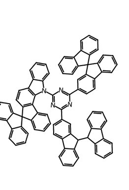 c1ccc2c(c1)-c1ccccc1C2C1c2ccccc2-c2ccc(-c3nc(-c4ccc5c(c4)C4(c6ccccc6-c6ccccc64)c4ccccc4-5)nc(-n4c5ccccc5c5ccc6c(c54)-c4ccccc4C64c5ccccc5-c5ccccc54)n3)cc21